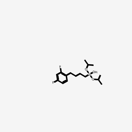 CC(C)O[Si](O)(CCCCc1ccc(F)cc1F)OC(C)C